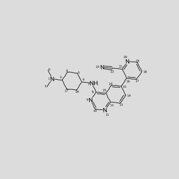 CN(C)C1CCC(Nc2ncnc3ccc(-c4cccnc4C#N)cc23)CC1